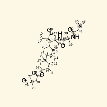 CC(C)C1=C2C3CCC4C(C)(CCC5C(C)C(OC(=O)CC(C)(C)C=O)CCC54C)C3CCC2(NC(=O)C(C)(C)NC(=O)CN(C)C)CC1=O